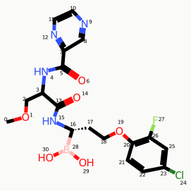 COCC(NC(=O)c1cnccn1)C(=O)N[C@H](CCOc1ccc(Cl)cc1F)B(O)O